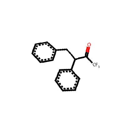 O=C(C(Cc1ccccc1)c1ccccc1)C(F)(F)F